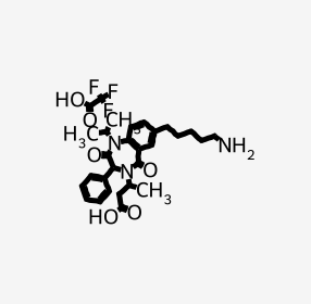 CC(C)N1C(=O)C(c2ccccc2)N(C(C)CC(=O)O)C(=O)c2cc(CCCCCN)ccc21.O=C(O)C(F)(F)F